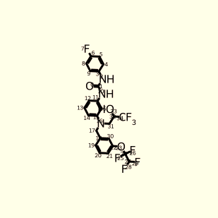 O=C(Nc1ccc(F)cc1)Nc1cccc(N(Cc2cccc(OC(F)(F)C(F)F)c2)CC(O)C(F)(F)F)c1